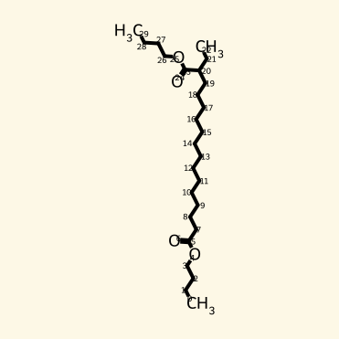 CCCCOC(=O)CCCCCCCCCCCCCC(CC)C(=O)OCCCC